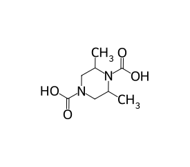 CC1CN(C(=O)O)CC(C)N1C(=O)O